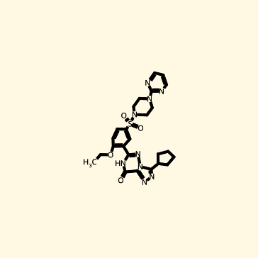 CCOc1ccc(S(=O)(=O)N2CCN(c3ncccn3)CC2)cc1-c1nn2c(C3CCCC3)nnc2c(=O)[nH]1